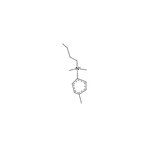 CCCC[N+](C)(C)c1ccc(C)cc1